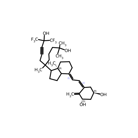 C=C1/C(=C\C=C2/CCC[C@@]3(C)C2CCC3C(C)(CC#CC(O)(C(F)(F)F)C(F)(F)F)CCCC(C)(C)O)C[C@@H](O)C[C@@H]1O